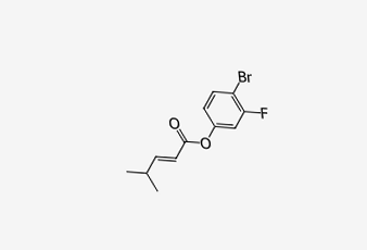 CC(C)C=CC(=O)Oc1ccc(Br)c(F)c1